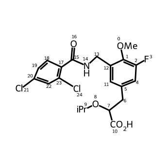 COc1c(F)cc(CC(OC(C)C)C(=O)O)cc1CNC(=O)c1ccc(Cl)cc1Cl